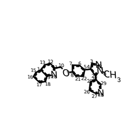 Cn1ncc(-c2ccc(OCc3ccc4ccccc4n3)cc2)c1-c1cccnc1